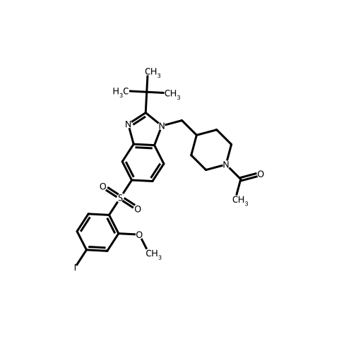 COc1cc(I)ccc1S(=O)(=O)c1ccc2c(c1)nc(C(C)(C)C)n2CC1CCN(C(C)=O)CC1